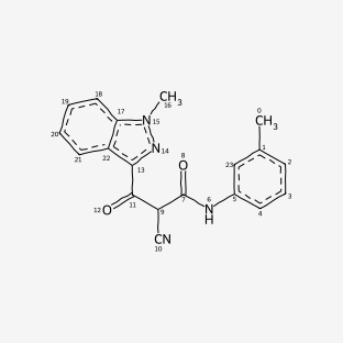 Cc1cccc(NC(=O)C(C#N)C(=O)c2nn(C)c3ccccc23)c1